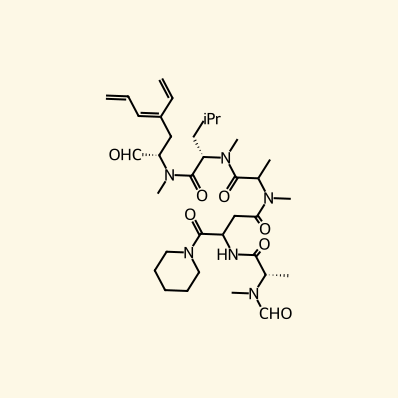 C=C/C=C(\C=C)C[C@@H](C=O)N(C)C(=O)[C@H](CC(C)C)N(C)C(=O)C(C)N(C)C(=O)CC(NC(=O)[C@H](C)N(C)C=O)C(=O)N1CCCCC1